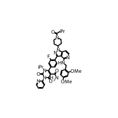 COc1ccc(CNc2nccc3c2c(-c2ccc(-c4c(C(N)=O)c(=O)n(-c5ccccn5)c(=O)n4C(C)C)cc2F)nn3C2CCN(C(=O)C(C)C)CC2)c(OC)c1